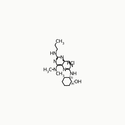 CCCNc1nc(N(C)C)c2nc(N[C@H]3CCCC[C@H]3O)ncc2n1.Cl